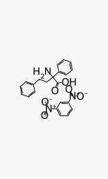 NC(CCc1ccccc1)(C(=O)O)c1ccccc1.O=[N+]([O-])c1cccc([N+](=O)[O-])c1